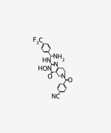 N#Cc1ccc(C(=O)N2CCc3nc(NC(N)c4ccc(C(F)(F)F)cc4)n(O)c(=O)c3C2)cc1